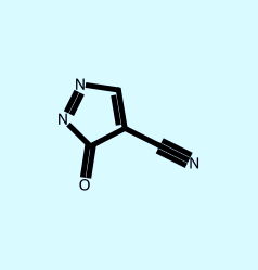 N#CC1=CN=NC1=O